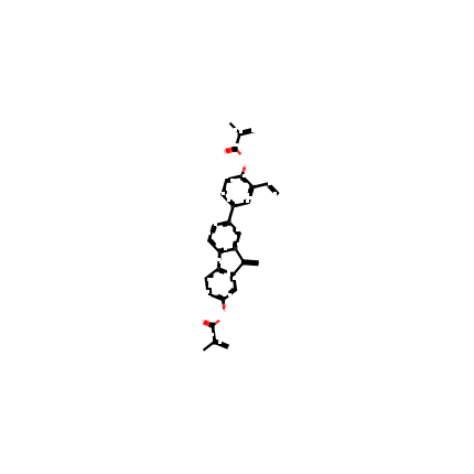 C=Cc1cc(-c2ccc3c(c2)C(=C)c2cc(OC(=O)C(=C)C)ccc2-3)ccc1OC(=O)C(=C)C